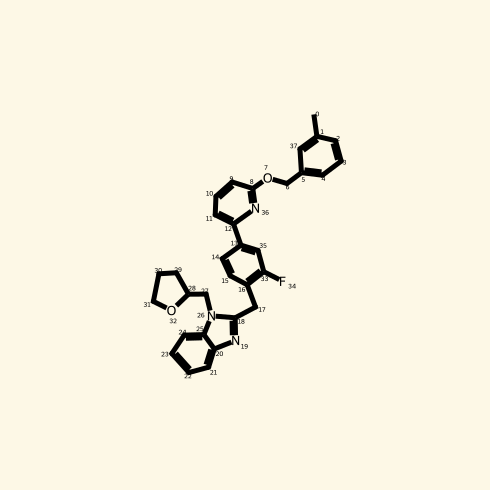 Cc1cccc(COc2cccc(-c3ccc(Cc4nc5ccccc5n4CC4CCCO4)c(F)c3)n2)c1